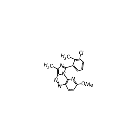 COc1ccc2nnc3c(C)nc(-c4cccc(Cl)c4C)n3c2n1